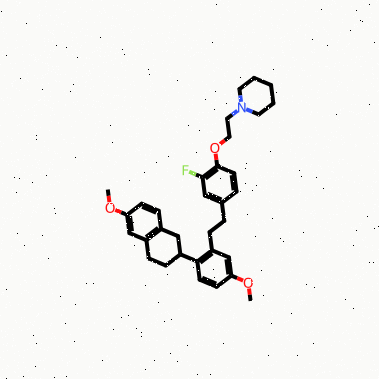 COc1ccc2c(c1)CCC(c1ccc(OC)cc1CCc1ccc(OCCN3CCCCC3)c(F)c1)C2